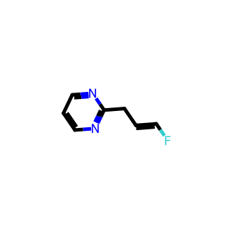 FC=CCc1ncccn1